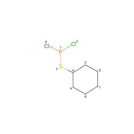 ClP(Cl)SC1CCCCC1